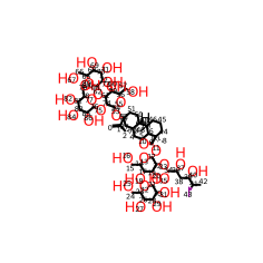 C=C1C[C@@]23CCC4[C@](C)(C(=O)OC5OC(CO)C(O)C(OC6OC(CO)C(O)C(O)C6O)C5OC(O)C(O)CC(O)C(C)I)CCC[C@@]4(C)[C@@H]2CC[C@]1(OC1OC(CO)C(O)C(OC2OC(CO)C(O)C(O)C2O)C1OC1OC(CO)C(O)C(O)C1O)C3